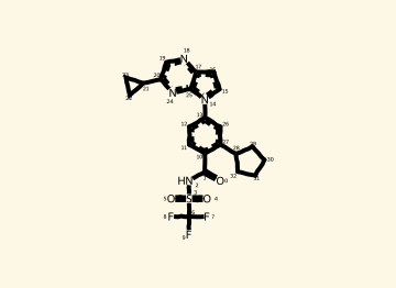 O=C(NS(=O)(=O)C(F)(F)F)c1ccc(-n2ccc3ncc(C4CC4)nc32)cc1C1CCCC1